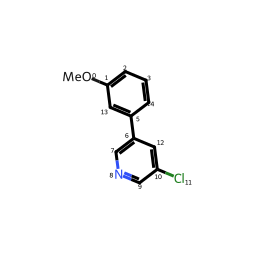 COc1cc[c]c(-c2cncc(Cl)c2)c1